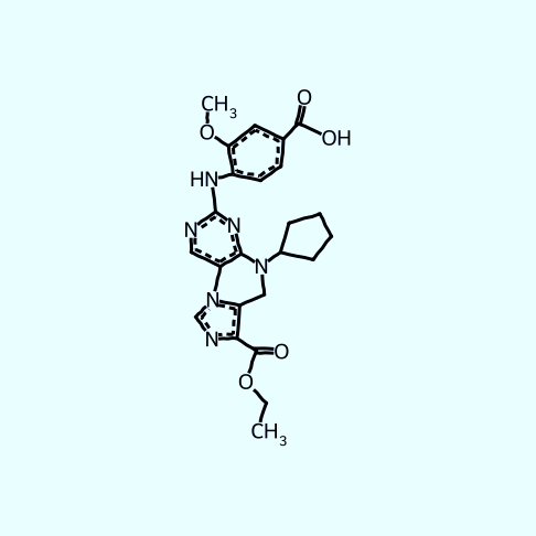 CCOC(=O)c1ncn2c1CN(C1CCCC1)c1nc(Nc3ccc(C(=O)O)cc3OC)ncc1-2